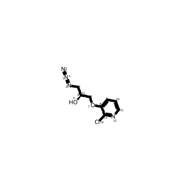 [N-]=[N+]=NC[C@H](O)COc1cccnc1Cl